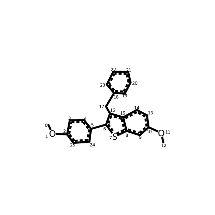 COc1ccc(-c2sc3cc(OC)ccc3c2Cc2ccccc2)cc1